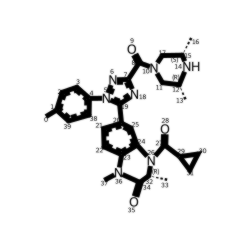 Cc1ccc(-n2nc(C(=O)N3C[C@@H](C)N[C@@H](C)C3)nc2-c2ccc3c(c2)N(C(=O)C2CC2)[C@H](C)C(=O)N3C)cc1